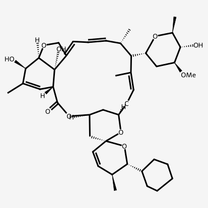 CO[C@H]1C[C@H](C2/C(C)=C/C[C@@H]3C[C@@H](C[C@]4(C=C[C@H](C)[C@@H](C5CCCCC5)O4)O3)OC(=O)[C@@H]3C=C(C)[C@@H](O)[C@H]4OC/C(=C\C=C\[C@@H]2C)[C@]43O)O[C@@H](C)[C@@H]1O